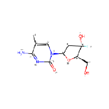 Cc1cn([C@H]2C[C@@](O)(F)[C@@H](CO)O2)c(=O)nc1N